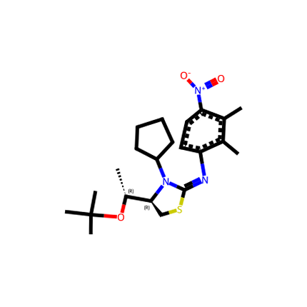 Cc1c(N=C2SC[C@@H]([C@@H](C)OC(C)(C)C)N2C2CCCC2)ccc([N+](=O)[O-])c1C